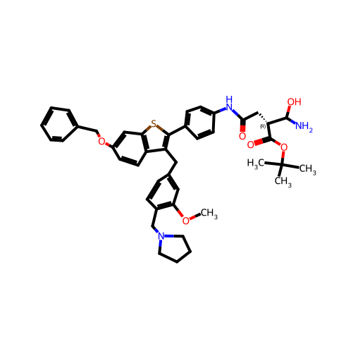 COc1cc(Cc2c(-c3ccc(NC(=O)C[C@@H](C(=O)OC(C)(C)C)C(N)O)cc3)sc3cc(OCc4ccccc4)ccc23)ccc1CN1CCCC1